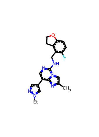 CCn1cc(-c2cnc(NCc3c(F)ccc4c3CCO4)n3cc(C)nc23)cn1